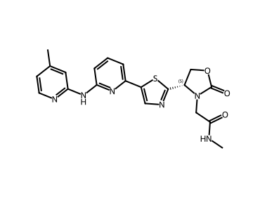 CNC(=O)CN1C(=O)OC[C@H]1c1ncc(-c2cccc(Nc3cc(C)ccn3)n2)s1